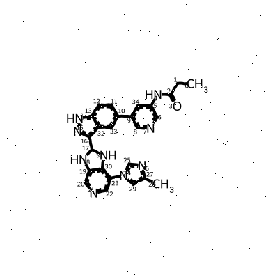 CCC(=O)Nc1cncc(-c2ccc3[nH]nc(C4Nc5cncc(-n6cnc(C)c6)c5N4)c3c2)c1